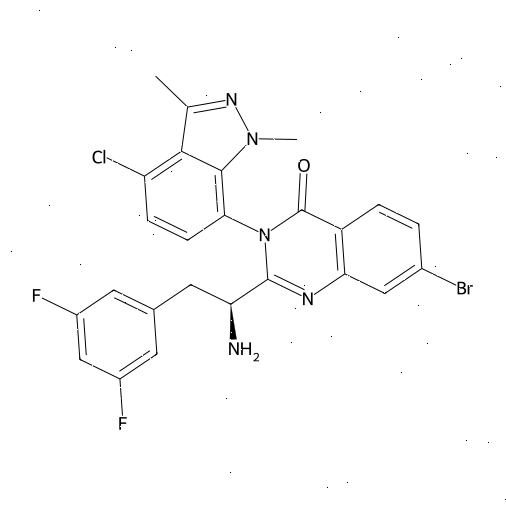 Cc1nn(C)c2c(-n3c([C@@H](N)Cc4cc(F)cc(F)c4)nc4cc(Br)ccc4c3=O)ccc(Cl)c12